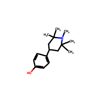 CN1C(C)(C)CC(c2ccc(O)cc2)CC1(C)C